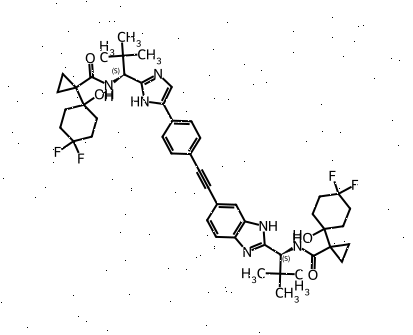 CC(C)(C)[C@H](NC(=O)C1(C2(O)CCC(F)(F)CC2)CC1)c1ncc(-c2ccc(C#Cc3ccc4nc([C@@H](NC(=O)C5(C6(O)CCC(F)(F)CC6)CC5)C(C)(C)C)[nH]c4c3)cc2)[nH]1